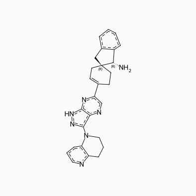 N[C@H]1c2ccccc2C[C@@]12CC=C(c1cnc3c(N4CCCc5ncccc54)n[nH]c3n1)CC2